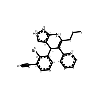 CCCC1=C(c2ccccn2)C(c2cccc(C#N)c2Br)c2c[nH]nc2N1